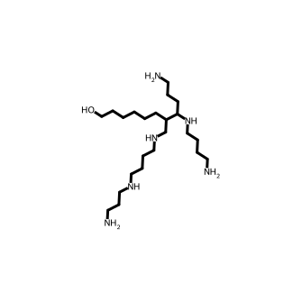 NCCCCNC(CCCN)C(CCCCCCO)CNCCCCNCCCN